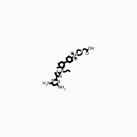 CCCN(c1nc(-c2nc(N)cc(N)n2)cs1)c1cc(-c2ccc(S(=O)(=O)N3CCN(CC(=O)O)CC3)cc2)ccc1C